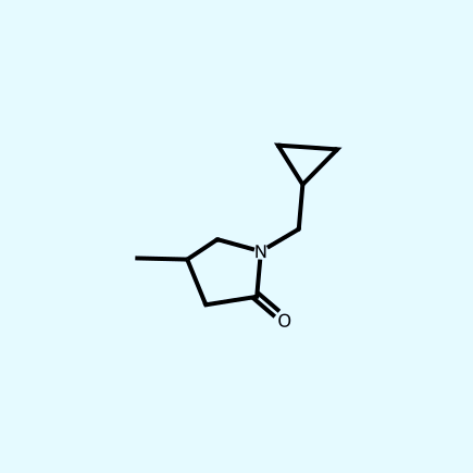 CC1CC(=O)N(CC2CC2)C1